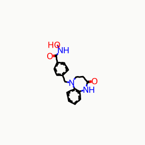 O=C1CCN(Cc2ccc(C(=O)NO)cc2)c2ccccc2N1